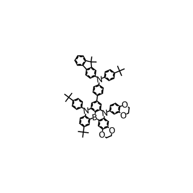 CC(C)(C)c1ccc(N(c2ccc(-c3cc4c5c(c3)N(c3ccc6c(c3)OCCO6)c3cc6c(cc3B5c3cc(C(C)(C)C)ccc3N4c3ccc(C(C)(C)C)cc3)OCCO6)cc2)c2ccc3c(c2)C(C)(C)c2ccccc2-3)cc1